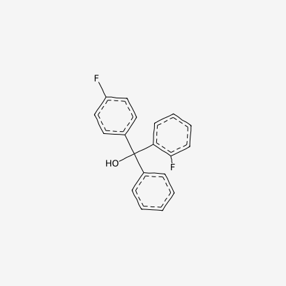 OC(c1ccccc1)(c1ccc(F)cc1)c1ccccc1F